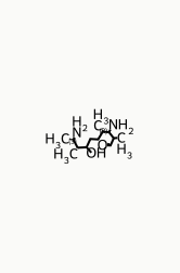 CC(C=O)C(N)[C@H](C)CCC(O)C(C)[C@H](C)N